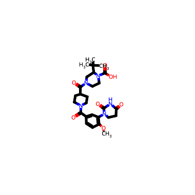 COc1ccc(C(=O)N2CCC(C(=O)N3CCN(C(=O)O)C(C(C)(C)C)C3)CC2)cc1N1CCC(=O)NC1=O